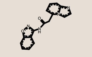 O=C(Cc1cccc2nccn12)Nc1noc2ccccc12